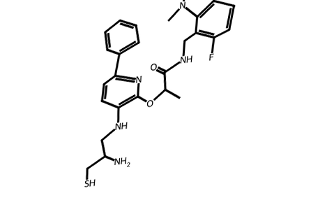 CC(Oc1nc(-c2ccccc2)ccc1NCC(N)CS)C(=O)NCc1c(F)cccc1N(C)C